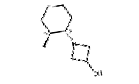 C[C@H]1CCCC[C@@H]1N1CC(O)C1